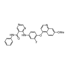 COc1ccc2c(Oc3ccc(Nc4ncncc4C(=O)Nc4ccccc4)cc3F)ccnc2c1